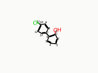 Oc1ccc[c]c1-c1ccc(Cl)cc1